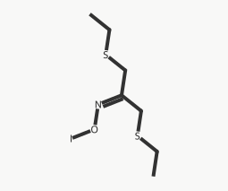 CCSCC(CSCC)=NOI